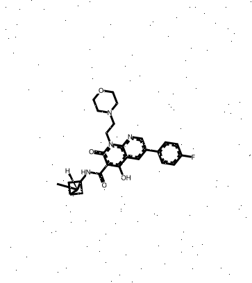 C[C@H]1C2CC1(NC(=O)c1c(O)c3cc(-c4ccc(F)cc4)cnc3n(CCN3CCOCC3)c1=O)C2